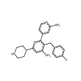 Nc1cc(-c2nc(N3CCNCC3)cc(N)c2Cc2ccc(F)cc2)ccn1